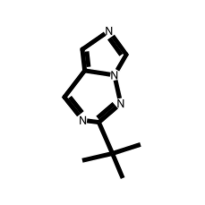 CC(C)(C)c1ncc2cncn2n1